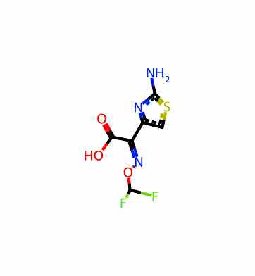 Nc1nc(C(=NOC(F)F)C(=O)O)cs1